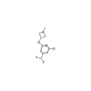 CN1CC(Oc2cc(C(F)F)cc(Cl)n2)C1